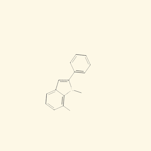 Cn1c(-c2ccccc2)cc2cccc(Cl)c21